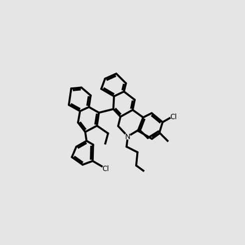 CCCCN(CCCC)Cc1c(-c2cccc(Cl)c2)cc2ccccc2c1-c1c(CC)c(-c2cccc(Cl)c2)cc2ccccc12